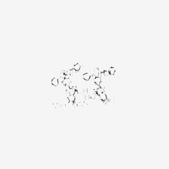 COc1cc2nc(N3CCC(Cc4ccccc4)(C(=O)NCc4ccccc4)CC3)nc(O)c2cc1OC.O=C(NCc1ccccc1)C1(Cc2ccccc2)CCN(c2nc(O)c3cc(F)c(Cl)cc3n2)CC1